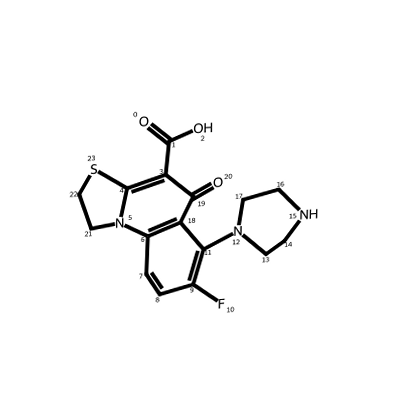 O=C(O)c1c2n(c3ccc(F)c(N4CCNCC4)c3c1=O)CCS2